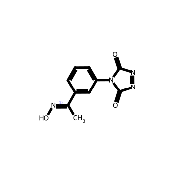 C/C(=N\O)c1cccc(N2C(=O)N=NC2=O)c1